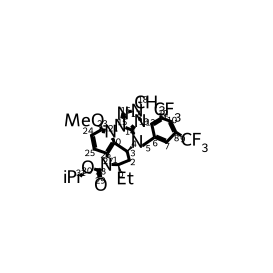 CC[C@@H]1C[C@H](N(Cc2cc(C(F)(F)F)cc(C(F)(F)F)c2)c2nnn(C)n2)c2nc(OC)ccc2N1C(=O)OC(C)C